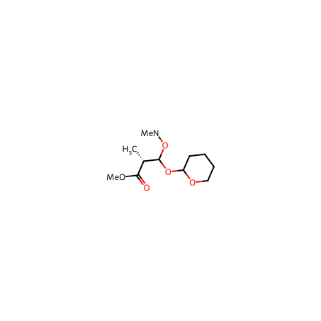 CNOC(OC1CCCCO1)[C@@H](C)C(=O)OC